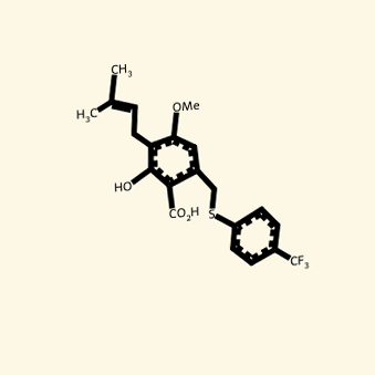 COc1cc(CSc2ccc(C(F)(F)F)cc2)c(C(=O)O)c(O)c1CC=C(C)C